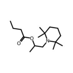 CCCC(=O)OC(C)CN1C(C)(C)CCCC1(C)C